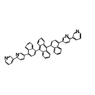 c1cncc(-c2ccc(-c3ccc(-c4c5ccccc5c(-c5ccc(-c6ccc(-c7cccnc7)nc6)c6ccccc56)c5ccccc45)c4ccccc34)cn2)c1